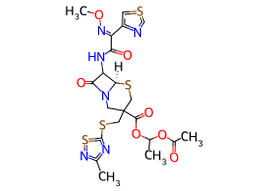 CON=C(C(=O)NC1C(=O)N2CC(CSc3nc(C)ns3)(C(=O)OC(C)OC(C)=O)CS[C@H]12)c1cscn1